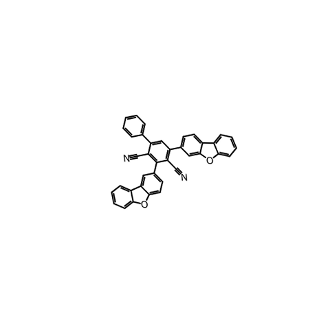 N#Cc1c(-c2ccccc2)cc(-c2ccc3c(c2)oc2ccccc23)c(C#N)c1-c1ccc2oc3ccccc3c2c1